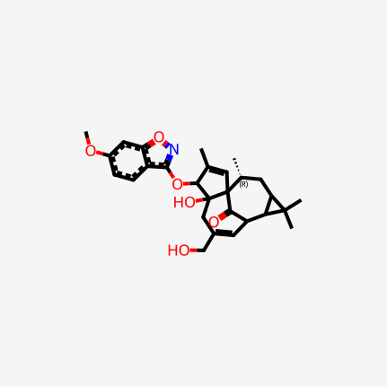 COc1ccc2c(OC3C(C)=CC45C(=O)C(C=C(CO)CC34O)C3C(C[C@H]5C)C3(C)C)noc2c1